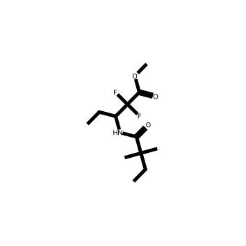 CCC(NC(=O)C(C)(C)CC)C(F)(F)C(=O)OC